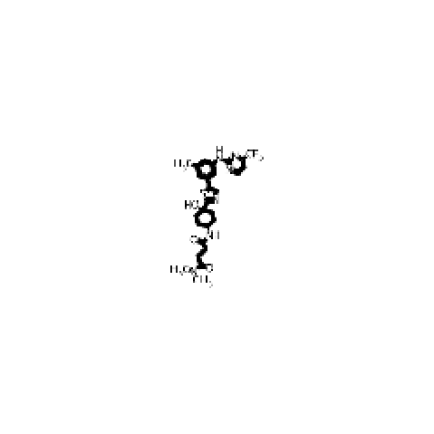 Cc1cc(Nc2nccc(C(F)(F)F)n2)cc(-c2cnc([C@]3(O)CC[C@@H](NC(=O)CCC(=O)N(C)C)CC3)s2)c1